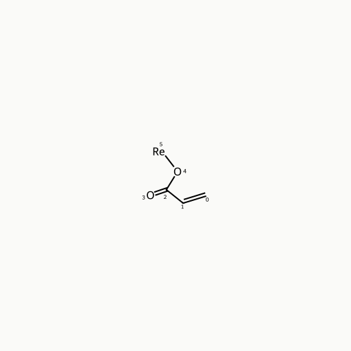 C=CC(=O)[O][Re]